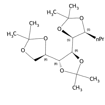 CCC[C@@H]1OC(C)(C)O[C@@H]1[C@H]1OC(C)(C)O[C@@H]1[C@H]1COC(C)(C)O1